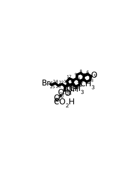 C[C@]12CCC(=O)C=C1CCC1C2CC[C@@]2(C)C1CC[C@]2(O)C(CCCCBr)C(=O)OCOC(=O)O